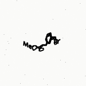 COC(=O)CCc1cccc(CBr)c1